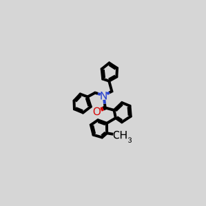 Cc1ccccc1-c1ccccc1C(=O)N(Cc1ccccc1)Cc1ccccc1